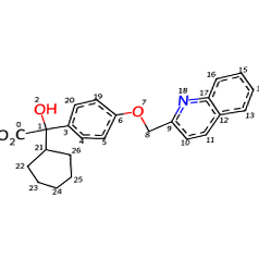 O=C(O)C(O)(c1ccc(OCc2ccc3ccccc3n2)cc1)C1CCCCC1